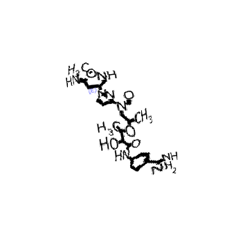 COC(=N)/C=C(\C=N)n1ccc(N(C=O)CC(C)OC(C)C(O)C(=O)Nc2ccc(C(=N)N)cc2)n1